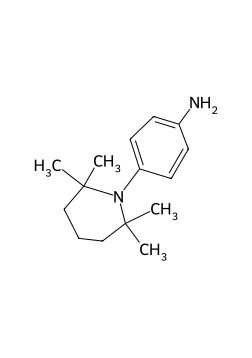 CC1(C)CCCC(C)(C)N1c1ccc(N)cc1